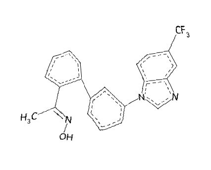 CC(=NO)c1ccccc1-c1cccc(-n2cnc3cc(C(F)(F)F)ccc32)c1